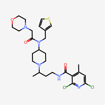 Cc1cc(Cl)nc(Cl)c1C(=O)NCCC(C)N1CCC(N(Cc2ccsc2)C(=O)CN2CCOCC2)CC1